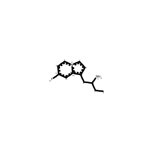 CCC(N)Cc1ccn2ccc(F)cc12